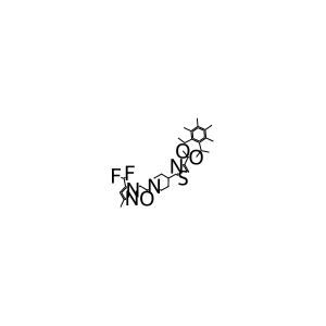 Cc1cc(C(F)F)n(CC(=O)N2CCC(c3nc(C4OC(C)c5c(C)c(C)c(C)c(C)c5C(C)O4)cs3)CC2)n1